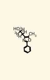 [2H]C([2H])(O)C([2H])([2H])c1nc(-c2ccccc2)oc1C